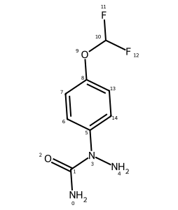 NC(=O)N(N)c1ccc(OC(F)F)cc1